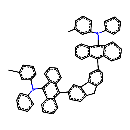 Cc1cccc(N(c2ccccc2)c2c3ccccc3c(-c3ccc4c(c3)-c3cc(-c5c6ccccc6c(N(c6ccccc6)c6cccc(C)c6)c6ccccc56)ccc3C4)c3ccccc23)c1